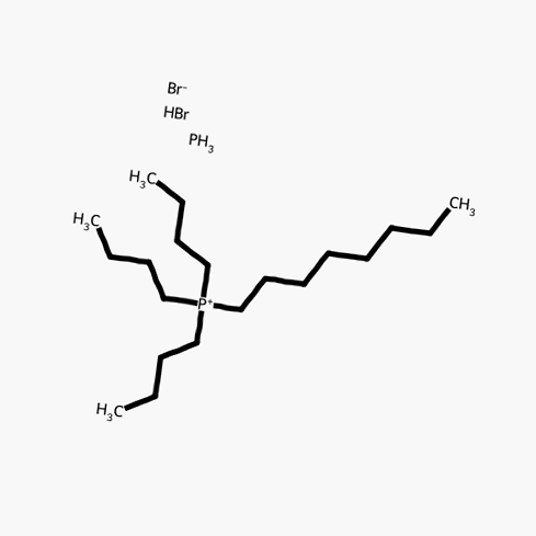 Br.CCCCCCCC[P+](CCCC)(CCCC)CCCC.P.[Br-]